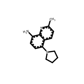 Cc1ccc2c(N3CCCC3)ccc(N)c2n1